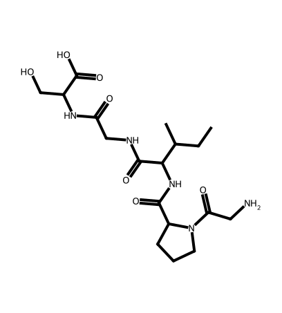 CCC(C)C(NC(=O)C1CCCN1C(=O)CN)C(=O)NCC(=O)NC(CO)C(=O)O